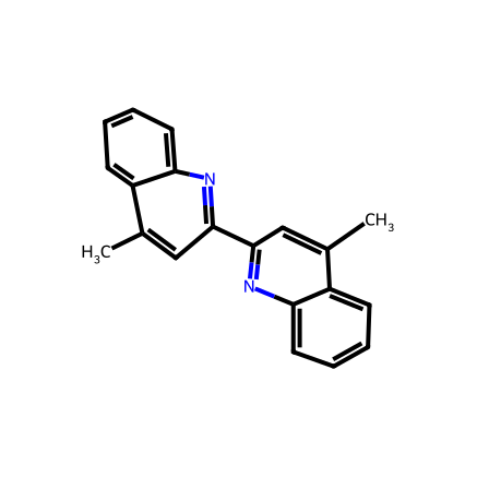 Cc1cc(-c2cc(C)c3ccccc3n2)nc2ccccc12